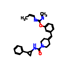 C=N/C(=N\C=C/C)Oc1cccc(C=C2CCN(C(=O)NC3CC3c3ccccc3)CC2)c1